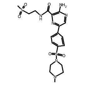 CN1CCN(S(=O)(=O)c2ccc(-c3cnc(N)c(C(=O)NCCS(C)(=O)=O)n3)cc2)CC1